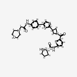 O=C(CN1CCOCC1)Nc1ccc(-c2cnc(C3CN(C(=O)c4ccc(NC(=O)[C@@H]5CCCN5)s4)C3)s2)cc1